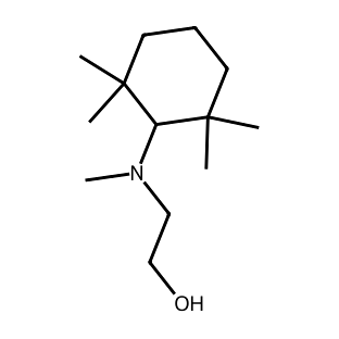 CN(CCO)C1C(C)(C)CCCC1(C)C